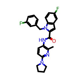 Cc1nc(N2CCCC2)ccc1NC(=O)c1cc2cc(F)ccc2n1Cc1cccc(F)c1